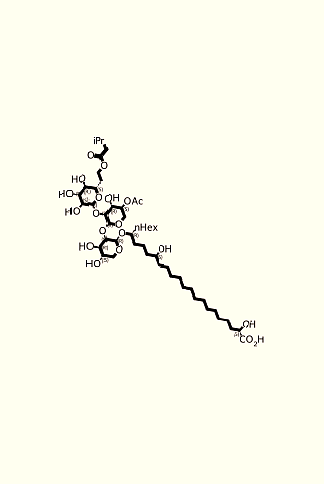 CCCCCC[C@H](CCC[C@@H](O)CCCCCCCCCCCCC[C@H](O)C(=O)O)O[C@H]1OC[C@H](O)[C@@H](O)[C@@H]1O[C@H]1OC[C@H](OC(C)=O)[C@@H](O)[C@@H]1O[C@H]1O[C@@H](CCOC(=O)CC(C)C)[C@H](O)[C@@H](O)[C@@H]1O